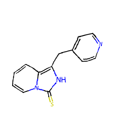 S=c1[nH]c(Cc2ccncc2)c2ccccn12